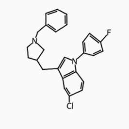 Fc1ccc(-n2cc(CC3CCN(Cc4ccccc4)C3)c3cc(Cl)ccc32)cc1